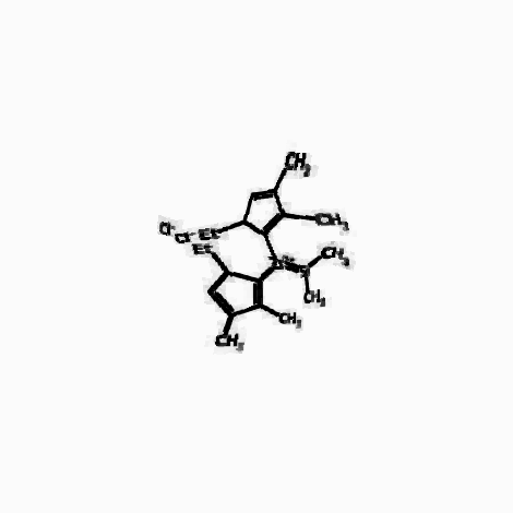 CCC1C=C(C)C(C)=[C]1[Zr+2]([C]1=C(C)C(C)=CC1CC)=[Si](C)C.[Cl-].[Cl-]